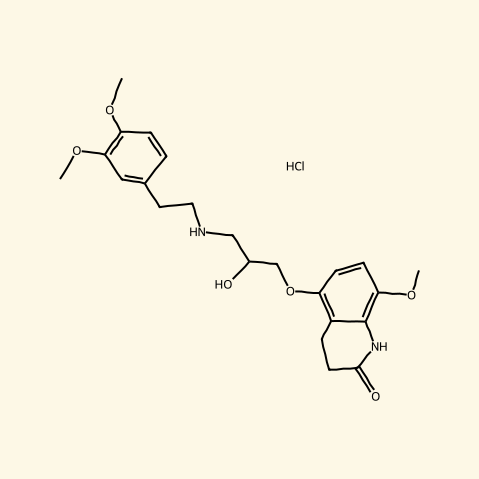 COc1ccc(CCNCC(O)COc2ccc(OC)c3c2CCC(=O)N3)cc1OC.Cl